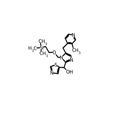 Cc1cnccc1Cc1cnc(C(O)c2cncs2)n1COCC[Si](C)(C)C